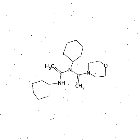 C=C(NC1CCCCC1)N(C(=C)N1CCOCC1)C1CCCCC1